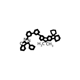 CC1(C)c2ccc(-c3cccc(-c4cccc(-c5nc(-c6ccccc6)c6c(n5)oc5ccccc56)c4)c3)cc2-c2cc3c(cc21)-c1ccccc1C31CCCCC1